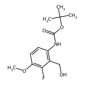 COc1ccc(NC(=O)OC(C)(C)C)c(CO)c1F